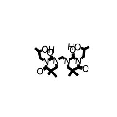 CC(O)CN1C(=O)N(CN2CC(C)(C)C(=O)N(CC(C)O)C2=O)CC(C)(C)C1=O